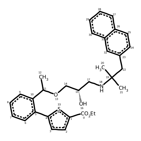 CCOC(=O)c1ccc(-c2ccccc2C(C)OC[C@@H](O)CNC(C)(C)Cc2ccc3ccccc3c2)s1